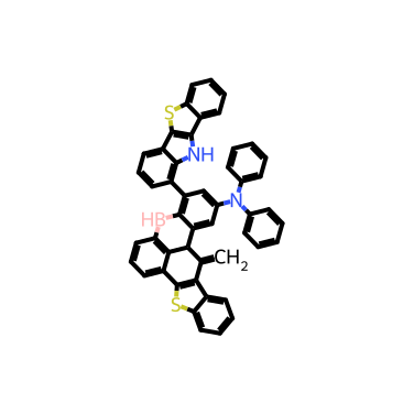 C=C1c2c(sc3ccccc23)-c2cccc3c2C1c1cc(N(c2ccccc2)c2ccccc2)cc(-c2cccc4c2[nH]c2c5ccccc5sc42)c1B3